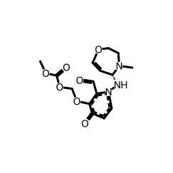 COC(=O)OCOc1c(C=O)n(N[C@@H]2C=COCCN2C)ccc1=O